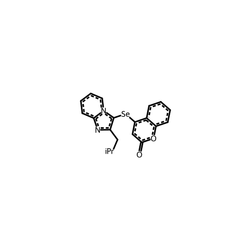 CC(C)Cc1nc2ccccn2c1[Se]c1cc(=O)oc2ccccc12